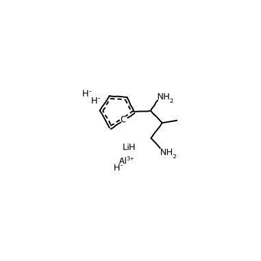 CC(CN)C(N)c1ccccc1.[Al+3].[H-].[H-].[H-].[LiH]